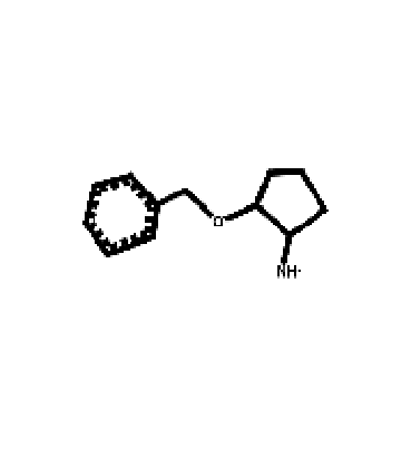 [NH]C1CCCC1OCc1ccccc1